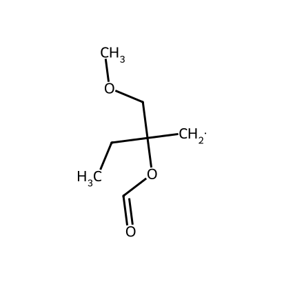 [CH2]C(CC)(COC)OC=O